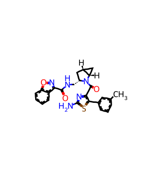 Cc1cccc(-c2sc(N)nc2C(=O)N2[C@H](CNC(=O)c3noc4ccccc34)C[C@@H]3C[C@@H]32)c1